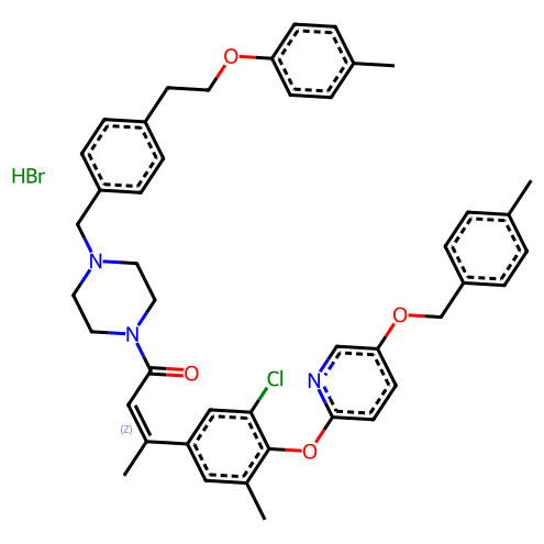 Br.C/C(=C/C(=O)N1CCN(Cc2ccc(CCOc3ccc(C)cc3)cc2)CC1)c1cc(C)c(Oc2ccc(OCc3ccc(C)cc3)cn2)c(Cl)c1